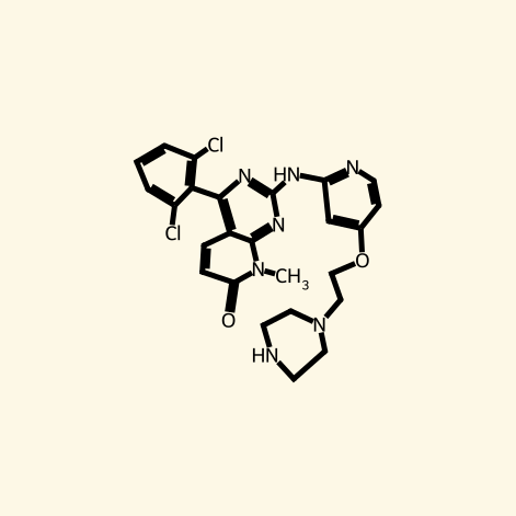 Cn1c(=O)ccc2c(-c3c(Cl)cccc3Cl)nc(Nc3cc(OCCN4CCNCC4)ccn3)nc21